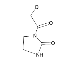 [O]CC(=O)N1CCNC1=O